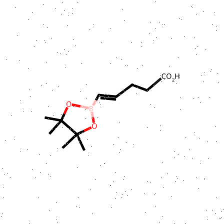 CC1(C)OB(C=CCCC(=O)O)OC1(C)C